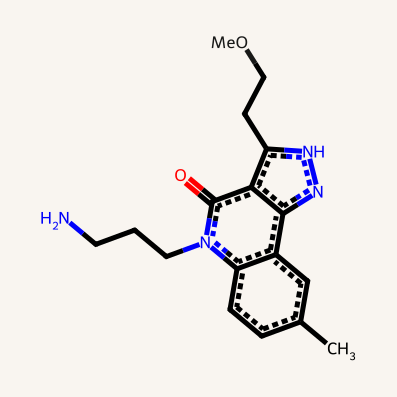 COCCc1[nH]nc2c1c(=O)n(CCCN)c1ccc(C)cc21